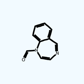 O=CN1C=CN=Cc2ccccc21